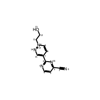 N#Cc1ccnc(-c2cc[n+](CCO)nc2)n1